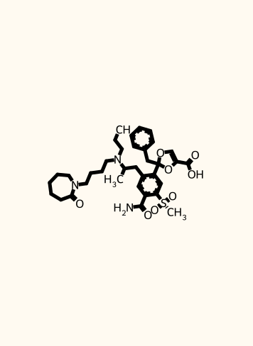 CCCN(CCCCN1CCCCCC1=O)C(C)Cc1cc(C(N)=O)c(S(C)(=O)=O)cc1C1(Cc2ccccc2)OC=C(C(=O)O)O1